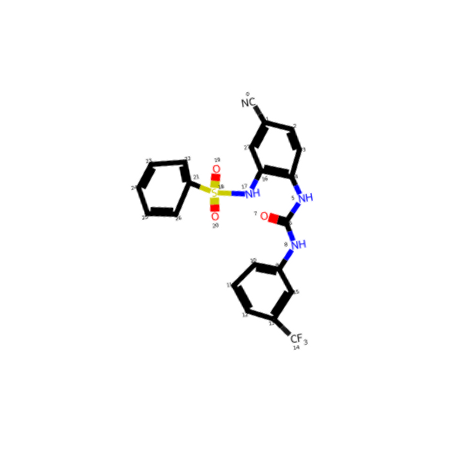 N#Cc1ccc(NC(=O)Nc2cccc(C(F)(F)F)c2)c(NS(=O)(=O)c2ccccc2)c1